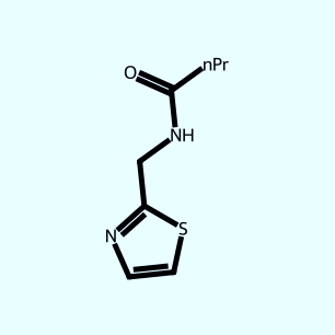 CCCC(=O)NCc1nccs1